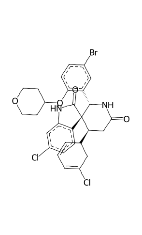 O=C1C[C@@H](C2C=CC=C(Cl)C2)[C@]2(C(=O)Nc3cc(Cl)ccc32)[C@H](c2cc(Br)ccc2OC2CCOCC2)N1